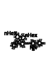 CCCCCCc1ccc(C2(c3ccc(CCCCCC)cc3)c3cc(C#Cc4ccc(-c5ccc(C)cc5)c5nsnc45)ccc3-c3c2cc2ccccn32)cc1